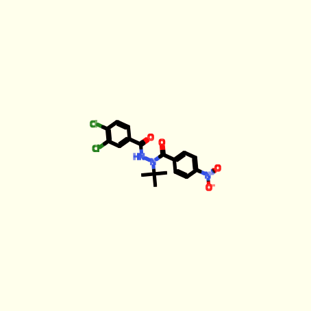 CC(C)(C)N(NC(=O)c1ccc(Cl)c(Cl)c1)C(=O)c1ccc([N+](=O)[O-])cc1